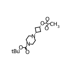 CC(C)(C)OC(=O)N1CCN([C@H]2C[C@@H](OS(C)(=O)=O)C2)CC1